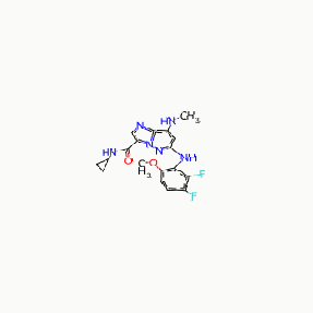 CNc1cc(Nc2c(OC)ccc(F)c2F)nn2c(C(=O)NC3CC3)cnc12